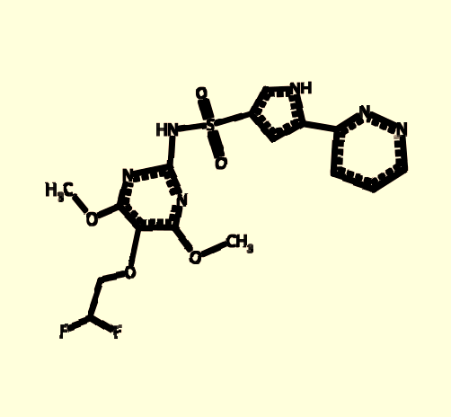 COc1nc(NS(=O)(=O)c2c[nH]c(-c3cccnn3)c2)nc(OC)c1OCC(F)F